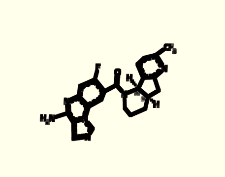 Nc1nc2cc(F)c(C(=O)N3CCC[C@@H]4Cc5nc(C(F)(F)F)ccc5[C@@H]43)cc2n2cncc12